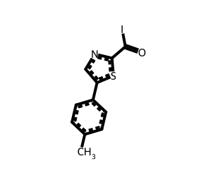 Cc1ccc(-c2cnc(C(=O)I)s2)cc1